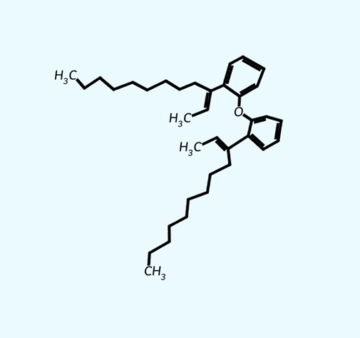 CC=C(CCCCCCCCC)c1ccccc1Oc1ccccc1C(=CC)CCCCCCCCC